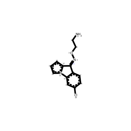 NCCO/N=C1/c2ccc(Cl)cc2-n2cccc21